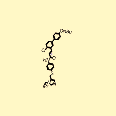 CCCCOc1ccc(-c2ccc(Cl)c(/C=C/C(=O)Nc3ccc(SCc4cncn4CC(C)C)cc3)c2)cc1